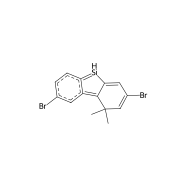 CC1(C)C=C(Br)C=C2[SiH]=c3ccc(Br)cc3=C21